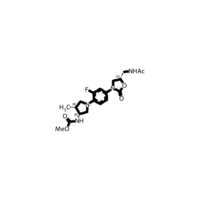 COC(=O)N[C@H]1CN(c2ccc(N3C[C@H](CNC(C)=O)OC3=O)cc2F)C[C@H]1C